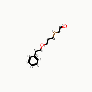 O=CCSCCCOCCc1ccccc1